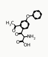 CC(=O)c1cc(Oc2ccccc2)ccc1C(=O)C(N)C(=O)O